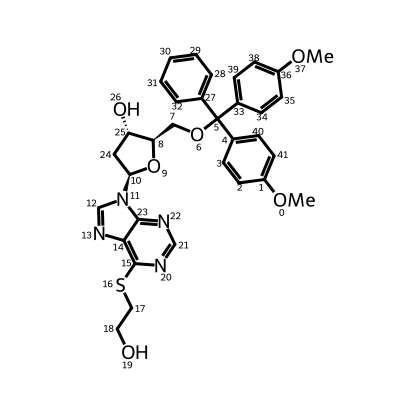 COc1ccc(C(OC[C@H]2O[C@@H](n3cnc4c(SCCO)ncnc43)C[C@@H]2O)(c2ccccc2)c2ccc(OC)cc2)cc1